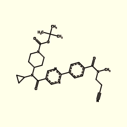 CN(CCC#N)C(=O)c1ccc(-c2ncc(C(=O)N(C3CC3)C3CCN(C(=O)OC(C)(C)C)CC3)cn2)cc1